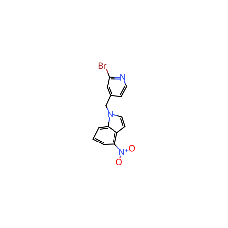 O=[N+]([O-])c1cccc2c1ccn2Cc1ccnc(Br)c1